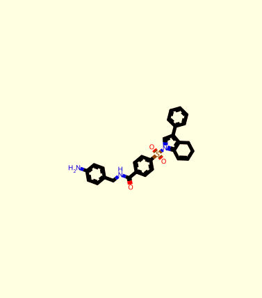 Nc1ccc(CNC(=O)c2ccc(S(=O)(=O)n3cc(-c4ccccc4)c4c3C=CCC4)cc2)cc1